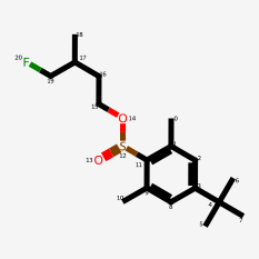 Cc1cc(C(C)(C)C)cc(C)c1S(=O)OCCC(C)CF